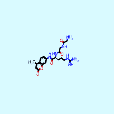 Cc1cc(=O)oc2cc(NC(=O)[C@H](CCCNC(=N)N)NC(=O)CNC(=O)CN)ccc12